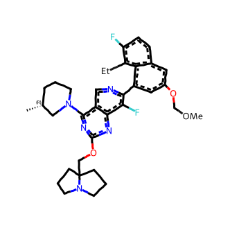 CCc1c(F)ccc2cc(OCOC)cc(-c3ncc4c(N5CCC[C@@H](C)C5)nc(OCC56CCCN5CCC6)nc4c3F)c12